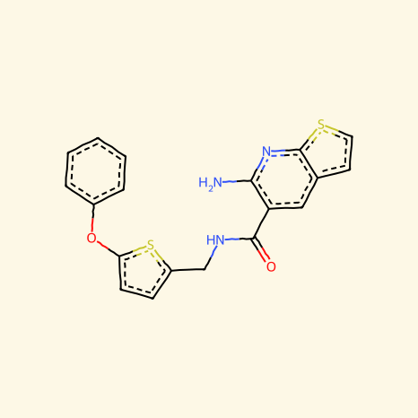 Nc1nc2sccc2cc1C(=O)NCc1ccc(Oc2ccccc2)s1